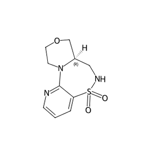 O=S1(=O)NC[C@@H]2COCCN2c2ncccc21